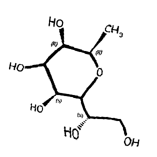 C[C@H]1OC([C@@H](O)CO)[C@@H](O)C(O)[C@H]1O